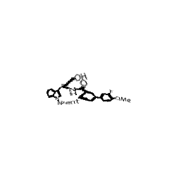 CCCCCn1cc(C[C@H](CO)NC(=O)c2cccc(-c3ccc(OC)c(F)c3)c2)c2ccccc21